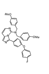 COc1ccc(CN(Cc2ccc(OC)cc2)c2nccc3cnc(-c4ccc(Oc5ccc(F)cc5)cc4)n23)cc1